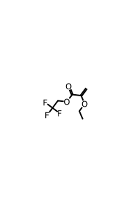 C=C(OCC)C(=O)OCC(F)(F)F